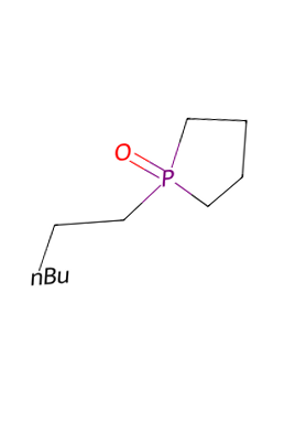 CCCCCCP1(=O)CCCC1